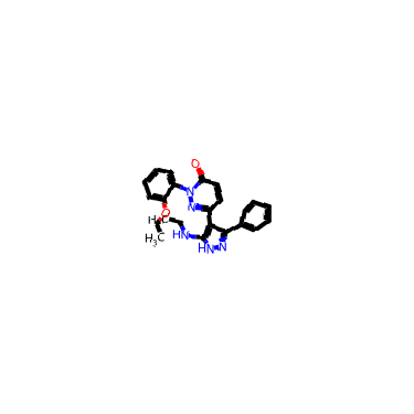 CCNc1[nH]nc(-c2ccccc2)c1-c1ccc(=O)n(-c2ccccc2OCC)n1